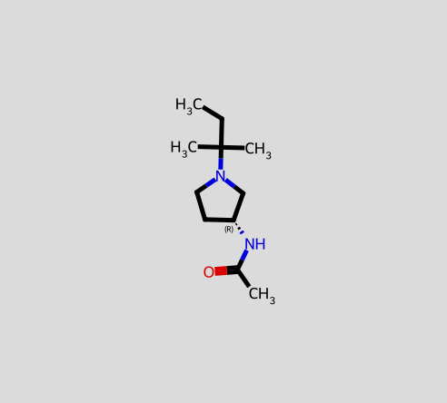 CCC(C)(C)N1CC[C@@H](NC(C)=O)C1